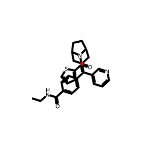 CCNC(=O)c1ccc(C(=C2CC3CCC(C2)N3C(=O)c2cccs2)c2cccnc2)cc1